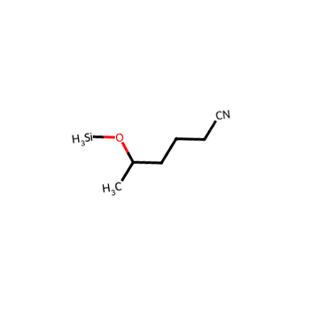 CC(CCCC#N)O[SiH3]